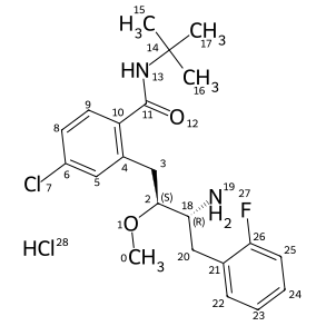 CO[C@@H](Cc1cc(Cl)ccc1C(=O)NC(C)(C)C)[C@H](N)Cc1ccccc1F.Cl